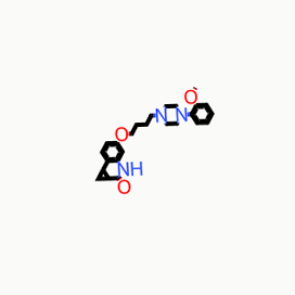 COc1ccccc1N1CCN(CCCCOc2ccc3c(c2)NC(=O)C2CC32)CC1